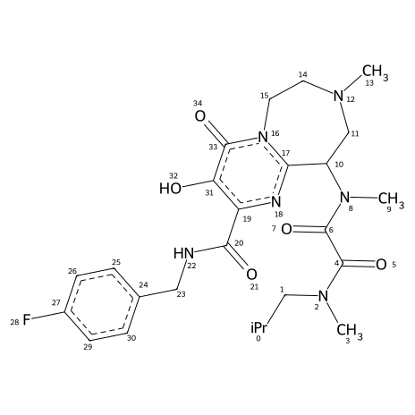 CC(C)CN(C)C(=O)C(=O)N(C)C1CN(C)CCn2c1nc(C(=O)NCc1ccc(F)cc1)c(O)c2=O